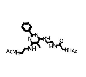 CC(=O)NCCNc1nc(-c2ccccc2)nc(NCCNC(=O)CNC(C)=O)c1C